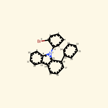 Brc1ccccc1-n1c2ccccc2c2cccc(-c3ccccc3)c21